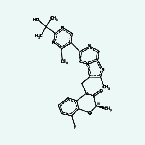 Cc1nc(C(C)(C)O)ncc1-c1cn2c(CN3C(=O)[C@@H](C)Oc4c(F)cccc43)c(C)nc2cn1